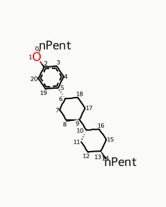 CCCCCOc1ccc([C@H]2CC[C@H]([C@H]3CC[C@H](CCCCC)CC3)CC2)cc1